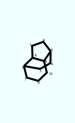 C1CC2CC[C]3CCC2C3C1